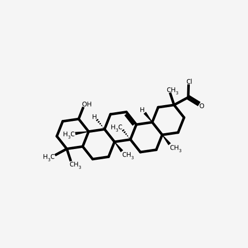 CC1(C(=O)Cl)CC[C@]2(C)CC[C@]3(C)C(=CC[C@@H]4[C@@]5(C)C(O)CCC(C)(C)C5CC[C@]43C)[C@@H]2C1